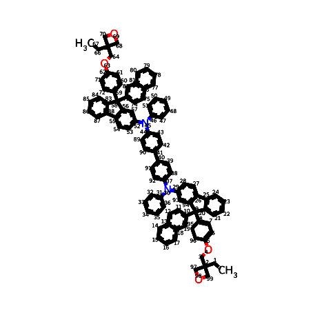 CCC1(COC2=CC=C(C3(c4ccc5ccccc5c4)c4ccccc4-c4ccc(N(c5ccccc5)c5ccc(-c6ccc(N(c7ccccc7)c7ccc8c(c7)C(c7ccc(OCC9(CC)COC9)cc7)(c7ccc9ccccc9c7)c7ccccc7-8)cc6)cc5)cc43)CC2)COC1